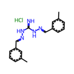 Cc1cccc(C=NNC(=N)NN=Cc2cccc(C)c2)c1.Cl